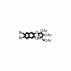 CC(=O)OC[C@H]1O[C@@H](Oc2cc3cc(Br)c(Br)cc3cc2O)C(OC(C)=O)[C@H]1OC(C)=O